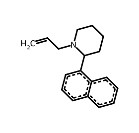 C=CCN1CCCCC1c1cccc2ccccc12